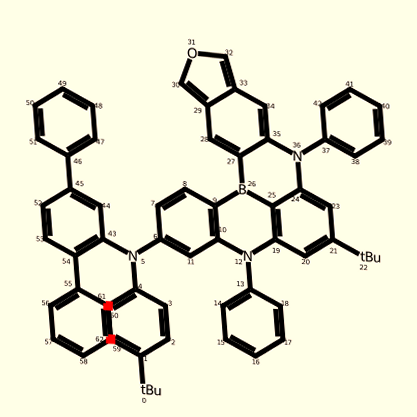 CC(C)(C)c1ccc(N(c2ccc3c(c2)N(c2ccccc2)c2cc(C(C)(C)C)cc4c2B3c2cc3cocc3cc2N4c2ccccc2)c2cc(-c3ccccc3)ccc2-c2ccccc2)cc1